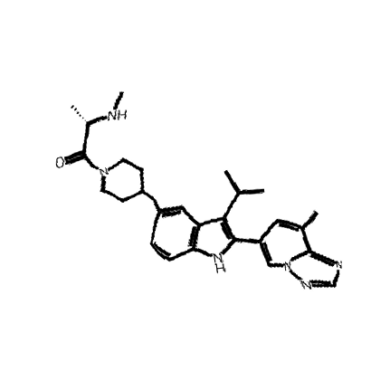 CN[C@@H](C)C(=O)N1CCC(c2ccc3[nH]c(-c4cc(C)c5ncnn5c4)c(C(C)C)c3c2)CC1